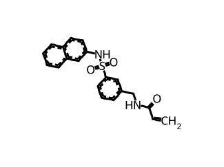 C=CC(=O)NCc1cccc(S(=O)(=O)Nc2ccc3ccccc3c2)c1